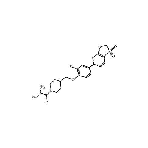 CC(C)[C@H](N)C(=O)N1CCC(COc2ccc(-c3ccc4c(c3)OCS4(=O)=O)cc2F)CC1